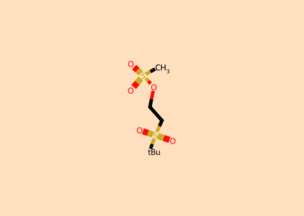 CC(C)(C)S(=O)(=O)CCOS(C)(=O)=O